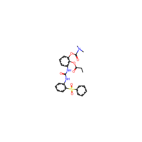 CCC(=O)Oc1c(NC(=O)Nc2ccccc2S(=O)(=O)c2ccccc2)cccc1OC(=O)N(C)C